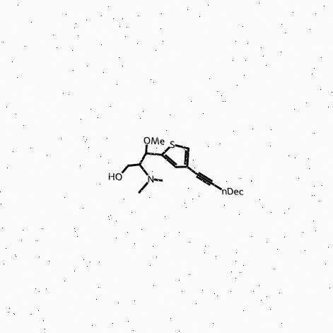 CCCCCCCCCCC#Cc1csc(C(OC)C(CO)N(C)C)c1